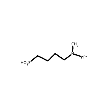 CCCN(C)CCCCS(=O)(=O)O